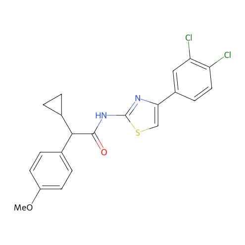 COc1ccc(C(C(=O)Nc2nc(-c3ccc(Cl)c(Cl)c3)cs2)C2CC2)cc1